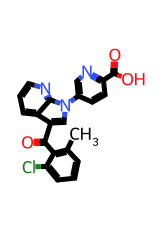 Cc1cccc(Cl)c1C(=O)c1cn(-c2ccc(C(=O)O)nc2)c2ncccc12